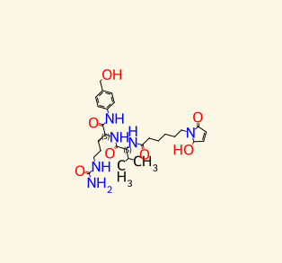 CC(C)[C@H](NC(=O)CCCCCN1C(=O)C=CC1O)C(=O)N[C@@H](CCCNC(N)=O)C(=O)Nc1ccc(CO)cc1